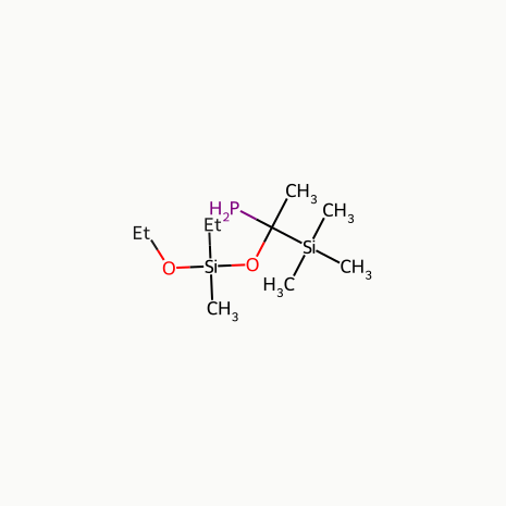 CCO[Si](C)(CC)OC(C)(P)[Si](C)(C)C